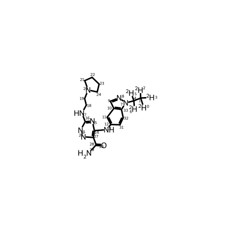 [2H]C([2H])([2H])C([2H])([2H])n1ncc2cc(Nc3nc(NCCN4CCCC4)nnc3C(N)=O)ccc21